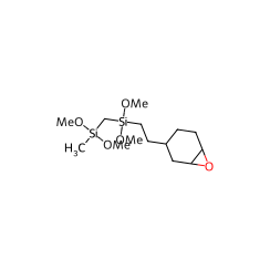 CO[Si](C)(C[Si](CCC1CCC2OC2C1)(OC)OC)OC